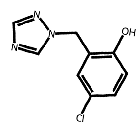 Oc1ccc(Cl)cc1Cn1cncn1